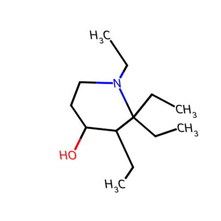 CCC1C(O)CCN(CC)C1(CC)CC